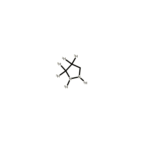 [2H]N1CC([2H])([2H])C([2H])([2H])N1[2H]